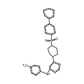 O=S(=O)(c1ccc(-c2ccccc2)cc1)N1CCN(c2cc(Nc3ccc(C(F)(F)F)cc3)ncn2)CC1